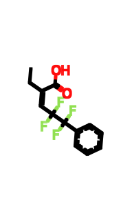 CCC(=CC(F)(F)C(F)(F)c1ccccc1)C(=O)O